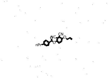 C=CCOc1ccc(OC(=O)c2ccc(CCC)cc2)c(C#N)c1C#N